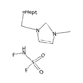 CCCCCCCCN1C=CN(C)C1.O=S(=O)(F)NF